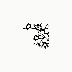 Cc1cccc(Cc2nnc(C(=O)[C@@H](NC(=O)C(C3CCCC3)N3C(=O)CNC3=O)C(C)C)o2)c1